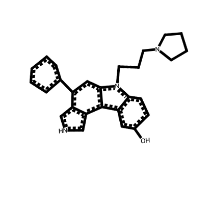 Oc1ccc2c(c1)c1c3c[nH]cc3c(-c3ccccc3)cc1n2CCCN1CCCC1